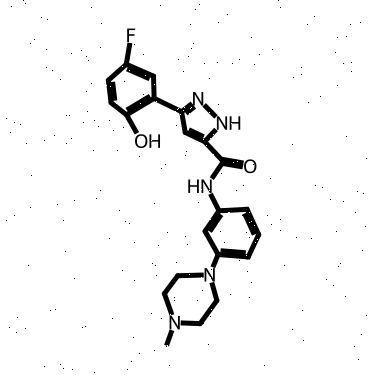 CN1CCN(c2cccc(NC(=O)c3cc(-c4cc(F)ccc4O)n[nH]3)c2)CC1